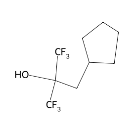 OC(CC1CCCC1)(C(F)(F)F)C(F)(F)F